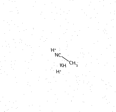 CC#N.[H+].[H+].[KH]